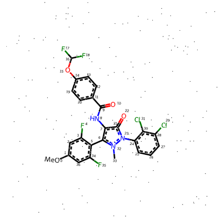 COc1cc(F)c(-c2c(NC(=O)c3ccc(OC(F)F)cc3)c(=O)n(-c3cccc(Cl)c3Cl)n2C)c(F)c1